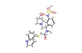 CO[SH](=O)=Nc1cccc(C(CN2CC[C@H](O)C2)N(C)C(=O)CSc2cccc3ncccc23)c1